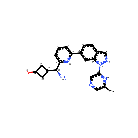 CCc1cncc(-n2ncc3ccc(-c4cccc([C@@H](N)C5CC(O)C5)n4)cc32)n1